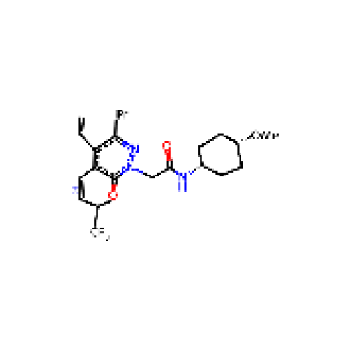 C=Cc1c(C(C)C)nn(CC(=O)N[C@H]2CC[C@@H](OC)CC2)c(=O)c1/C=C\C(C)C(F)(F)F